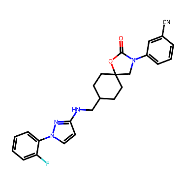 N#Cc1cccc(N2CC3(CCC(CNc4ccn(-c5ccccc5F)n4)CC3)OC2=O)c1